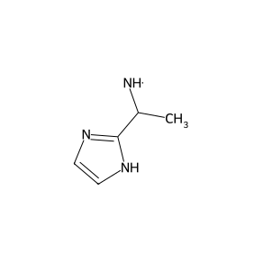 CC([NH])c1ncc[nH]1